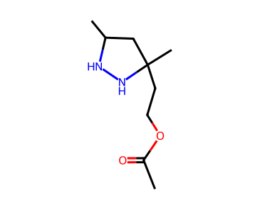 CC(=O)OCCC1(C)CC(C)NN1